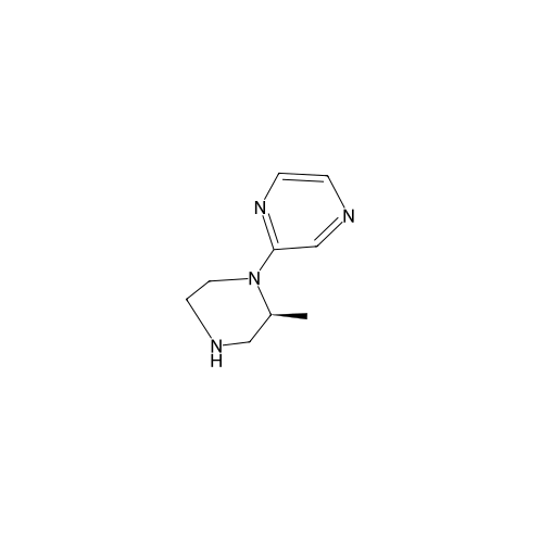 C[C@H]1CNCCN1c1cnccn1